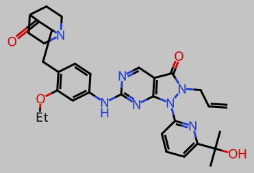 C=CCn1c(=O)c2cnc(Nc3ccc(CC4C(=O)C5CCN4CC5)c(OCC)c3)nc2n1-c1cccc(C(C)(C)O)n1